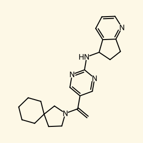 C=C(c1cnc(NC2CCc3ncccc32)nc1)N1CCC2(CCCCC2)C1